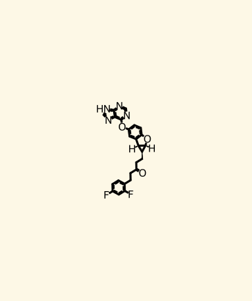 O=C(CCc1ccc(F)cc1F)CC[C@@H]1[C@H]2Oc3ccc(Oc4ncnc5[nH]cnc45)cc3[C@@H]12